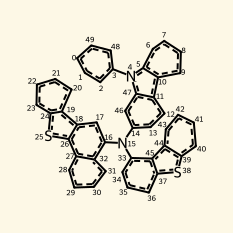 c1ccc(-n2c3ccccc3c3ccc(N(c4cc5c6ccccc6sc5c5ccccc45)c4cccc5sc6ccccc6c45)cc32)cc1